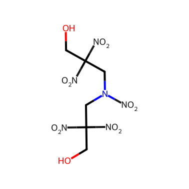 O=[N+]([O-])N(CC(CO)([N+](=O)[O-])[N+](=O)[O-])CC(CO)([N+](=O)[O-])[N+](=O)[O-]